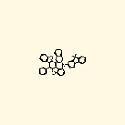 CC1(C)c2ccccc2-c2ccc(N(c3ccc4ccccc4c3)c3cccc4oc5c(-c6ccccc6)c6c7c(oc6cc5c34)CCC=C7)cc21